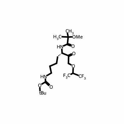 COC(C)(C)C(=O)N[C@@H](CCCCNC(=O)OC(C)(C)C)C(=O)COC(C(F)(F)F)C(F)(F)F